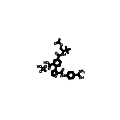 CC(=O)OCC(NC(=O)c1ccc(-c2ccsc2C(=O)Nc2ccc(C(=N)N)cc2)c(C(=O)O)c1)C(C)(C)C.CS(=O)(=O)O